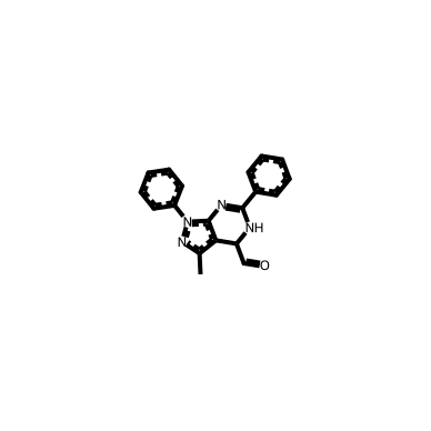 Cc1nn(-c2ccccc2)c2c1C(C=O)NC(c1ccccc1)=N2